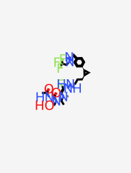 CC(=O)NC(=O)N(CO)C(C)N(C)/C=C(/F)NNCCC[C@@H]1C[C@H]1c1ccc2cnn(CC(F)(F)F)c2c1